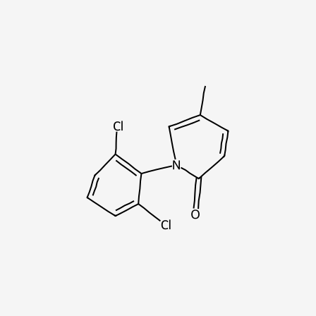 Cc1ccc(=O)n(-c2c(Cl)cccc2Cl)c1